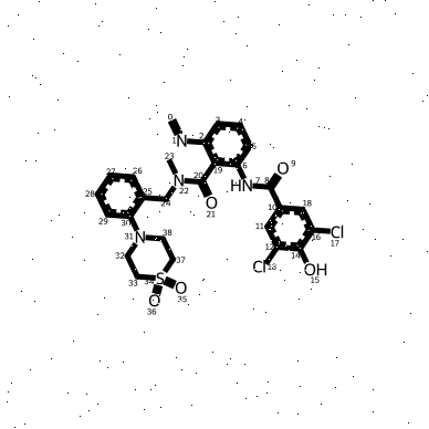 C=Nc1cccc(NC(=O)c2cc(Cl)c(O)c(Cl)c2)c1C(=O)N(C)Cc1ccccc1N1CCS(=O)(=O)CC1